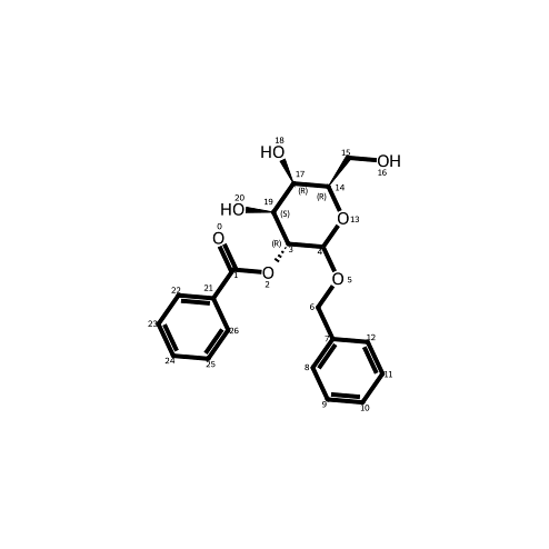 O=C(O[C@H]1C(OCc2ccccc2)O[C@H](CO)[C@H](O)[C@@H]1O)c1ccccc1